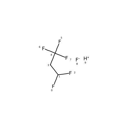 FC(F)CC(F)(F)F.[F-].[H+]